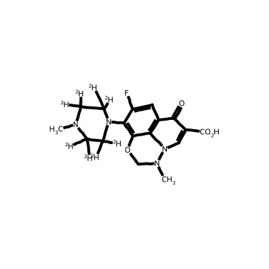 [2H]C1([2H])N(C)C([2H])([2H])C([2H])([2H])N(c2c(F)cc3c(=O)c(C(=O)O)cn4c3c2OCN4C)C1([2H])[2H]